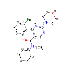 CN(C(=O)c1cnc(N2CCOCC2)nc1-c1ccccc1F)C1CCCCC1